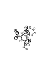 CCn1cnc2c(N3CCCCS3(=O)=O)cc(C(=O)OC)cc21